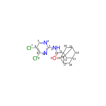 O=C(Nc1ncc(Cl)c(Cl)n1)C12CC3CC(CC(C3)C1)C2